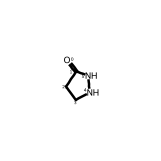 O=C1[CH]CNN1